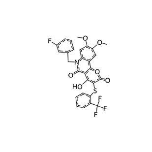 COc1cc2c3oc(=O)c(Sc4ccccc4C(F)(F)F)c(O)c3c(=O)n(Cc3cccc(F)c3)c2cc1OC